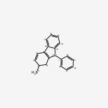 BC1C=Cc2c(n(-c3ccccc3)c3ccccc23)C1